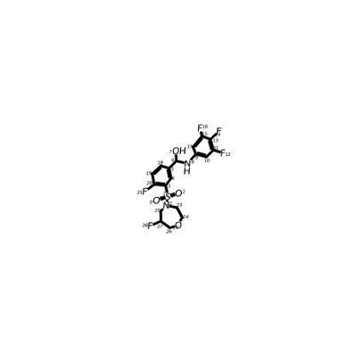 O=S(=O)(c1cc(C(O)Nc2cc(F)c(F)c(F)c2)ccc1F)N1CCOCC(F)C1